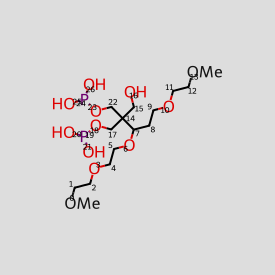 COCCOCCOC(CCOCCOC)C(CO)(COP(O)O)COP(O)O